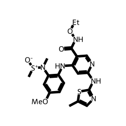 CCONC(=O)c1cnc(Nc2ncc(C)s2)cc1Nc1ccc(OC)cc1N(C)[S+](C)[O-]